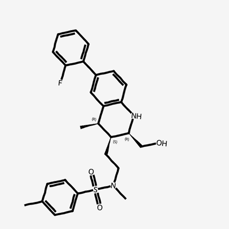 Cc1ccc(S(=O)(=O)N(C)CC[C@@H]2[C@H](CO)Nc3ccc(-c4ccccc4F)cc3[C@@H]2C)cc1